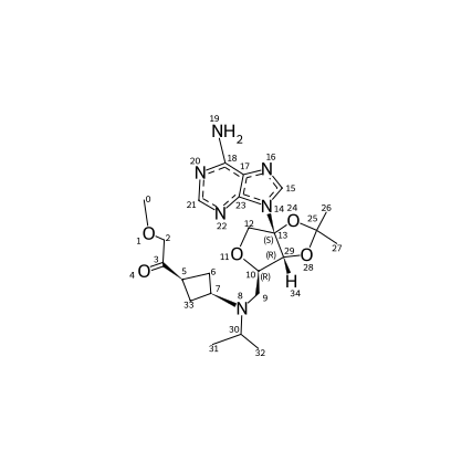 COCC(=O)[C@H]1C[C@@H](N(C[C@H]2OC[C@]3(n4cnc5c(N)ncnc54)OC(C)(C)O[C@H]23)C(C)C)C1